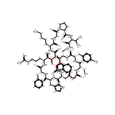 CCCC[C@H](NC(=O)[C@H](CO)NC(=O)[C@H](Cc1ccc(O)cc1)NC(=O)[C@H](CO)NC(C)=O)C(=O)N[C@@H](CC(=O)O)C(=O)N[C@@H](Cc1c[nH]cn1)C(=O)N[C@H](Cc1ccccc1)C(=O)N[C@@H](CCCNC(=N)N)C(=O)N[C@@H](Cc1c[nH]c2ccccc12)C(=O)N[C@@H](CCCCN)C(=O)NCC(=O)N1CCC[C@H]1C(=O)N[C@H](C(N)=O)C(C)C